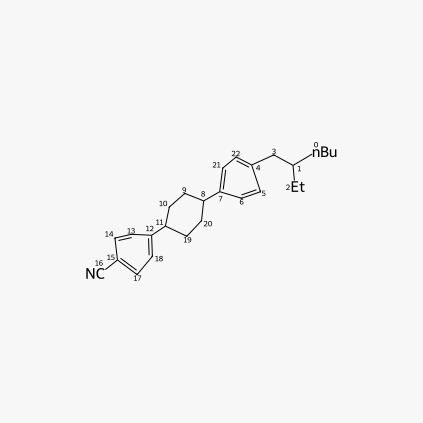 CCCCC(CC)Cc1ccc(C2CCC(c3ccc(C#N)cc3)CC2)cc1